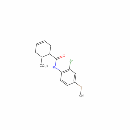 N#CSc1ccc(NC(=O)C2CC=CCC2C(=O)O)c(Br)c1